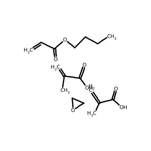 C1CO1.C=C(C)C(=O)O.C=C(C)C(=O)O.C=CC(=O)OCCCC